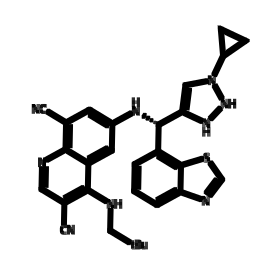 CC(C)(C)CNc1c(C#N)cnc2c(C#N)cc(N[C@H](C3=CN(C4CC4)NN3)c3cccc4ncsc34)cc12